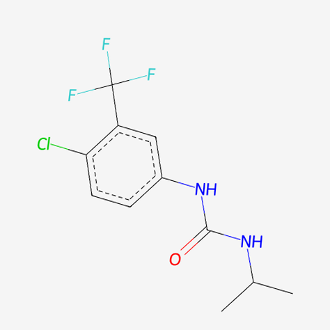 CC(C)NC(=O)Nc1ccc(Cl)c(C(F)(F)F)c1